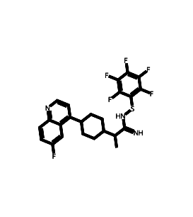 CC(C(=N)NSc1c(F)c(F)c(F)c(F)c1F)C1CCC(c2ccnc3ccc(F)cc23)CC1